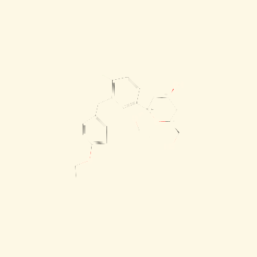 CCOc1ccc(Cc2cc([C@@]3(OC)C[C@@H](O)C[C@@H](CO)O3)ccc2Cl)cc1